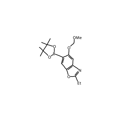 CCc1nc2cc(OCOC)c(B3OC(C)(C)C(C)(C)O3)cc2o1